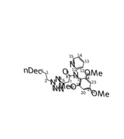 CCCCCCCCCCCCn1nnc(CC(=O)N(c2ccccn2)c2c(OC)cc(OC)cc2OC)n1